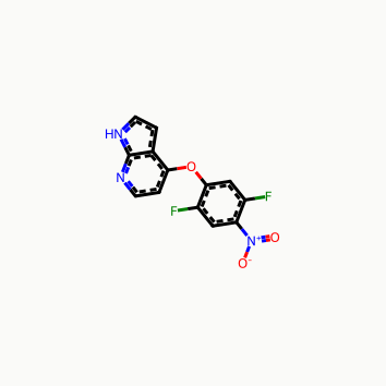 O=[N+]([O-])c1cc(F)c(Oc2ccnc3[nH]ccc23)cc1F